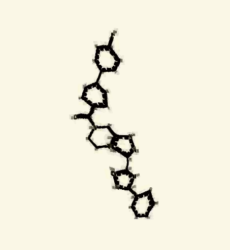 O=C(c1ccc(-c2ccc(F)cc2)cc1)N1CCn2c(nnc2-c2nc(-c3ccccc3)no2)C1